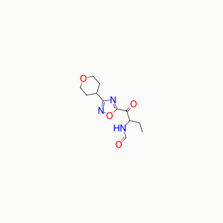 CCC(NC=O)C(=O)c1nc(C2CCOCC2)no1